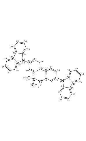 CC1(C)Oc2cc(-n3c4ccccc4c4ccccc43)ccc2-c2ccc(-n3c4ccccc4c4ccccc43)cc21